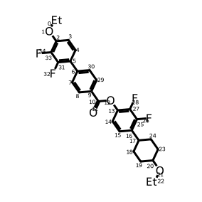 CCOc1ccc(-c2ccc(C(=O)Oc3ccc(C4CCC(OCC)CC4)c(F)c3F)cc2)c(F)c1F